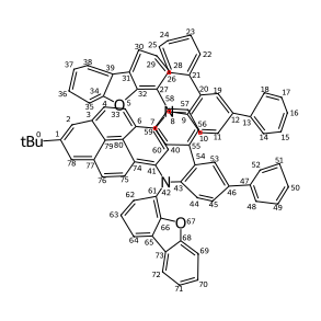 CC(C)(C)c1cc2ccc3c(N(c4ccc(-c5ccccc5)cc4-c4ccccc4)c4cccc5c4oc4ccccc45)cc(N(c4ccc(-c5ccccc5)cc4-c4ccccc4)c4cccc5c4oc4ccccc45)c4ccc(c1)c2c34